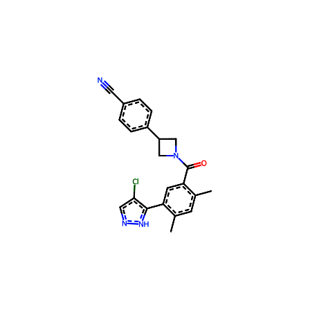 Cc1cc(C)c(-c2[nH]ncc2Cl)cc1C(=O)N1CC(c2ccc(C#N)cc2)C1